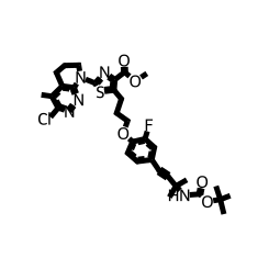 COC(=O)c1nc(N2CCCc3c2nnc(Cl)c3C)sc1CCCOc1ccc(C#CC(C)(C)NC(=O)OC(C)(C)C)cc1F